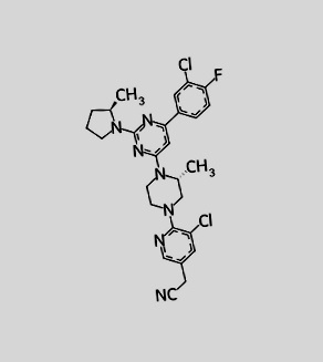 C[C@@H]1CN(c2ncc(CC#N)cc2Cl)CCN1c1cc(-c2ccc(F)c(Cl)c2)nc(N2CCC[C@H]2C)n1